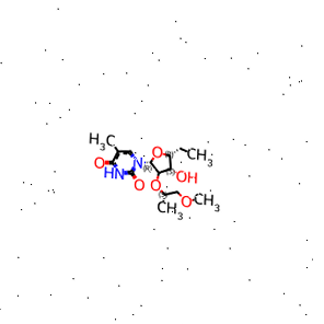 CC[C@H]1O[C@@H](n2cc(C)c(=O)[nH]c2=O)C(O[C@@H](C)COC)[C@H]1O